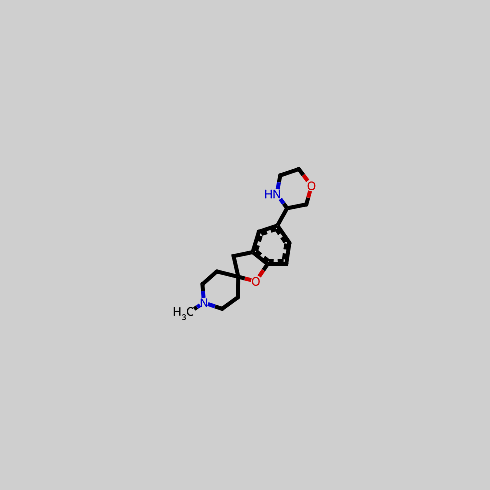 CN1CCC2(CC1)Cc1cc(C3COCCN3)ccc1O2